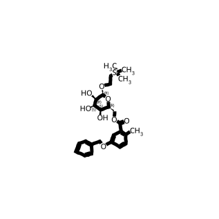 Cc1ccc(OCc2ccccc2)cc1C(=O)OC[C@H]1O[C@@H](OCC[Si](C)(C)C)[C@H](O)[C@@H](O)[C@@H]1O